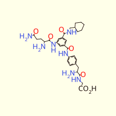 NC(=O)CCC(N)C(=O)Nc1cc(C(=O)NCC2CCCCC2)cc(C(=O)Nc2ccc(CC(N)C(=O)NCC(=O)O)cc2)c1